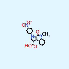 Cn1c(=O)c2c(c(C(=O)O)cn2-c2ccc([N+](=O)[O-])cc2)c2ccccc21